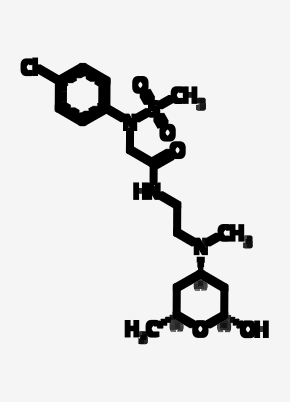 C[C@@H]1C[C@H](N(C)CCNC(=O)CN(c2ccc(Cl)cc2)S(C)(=O)=O)C[C@H](O)O1